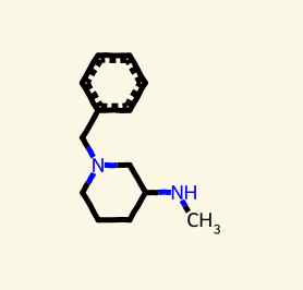 CNC1CCCN(Cc2ccccc2)C1